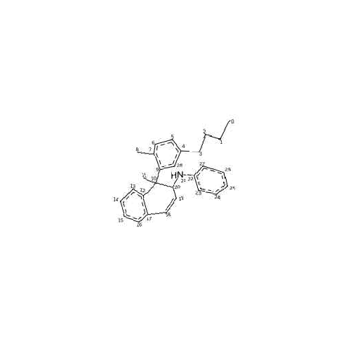 CCCCc1ccc(C)c(C2(C)c3ccccc3C=CC2Nc2ccccc2)c1